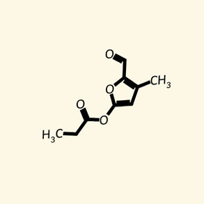 CCC(=O)Oc1cc(C)c(C=O)o1